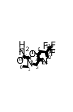 CCN(Cc1ccc(C(F)(F)F)cn1)C(=O)C(N)=O